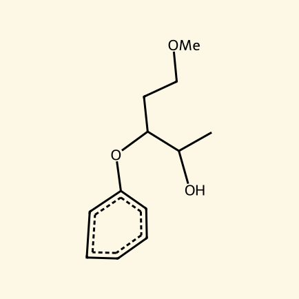 COCCC(Oc1ccccc1)C(C)O